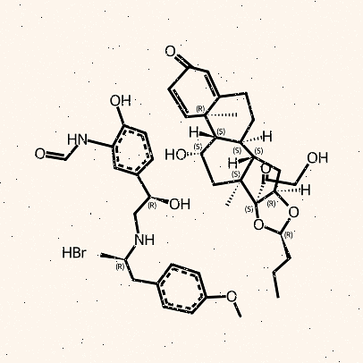 Br.CCC[C@@H]1O[C@@H]2C[C@H]3[C@@H]4CCC5=CC(=O)C=C[C@]5(C)[C@H]4[C@@H](O)C[C@]3(C)[C@]2(C(=O)CO)O1.COc1ccc(C[C@@H](C)NC[C@H](O)c2ccc(O)c(NC=O)c2)cc1